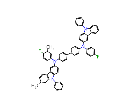 CC1C=Cc2c(n(-c3ccccc3)c3ccc(N(C4=CC(C)C(F)C=C4)c4ccc(-c5ccc(N(c6ccc(F)cc6)c6ccc7c(c6)c6ccccc6n7-c6ccccc6)cc5)cc4)cc23)C1